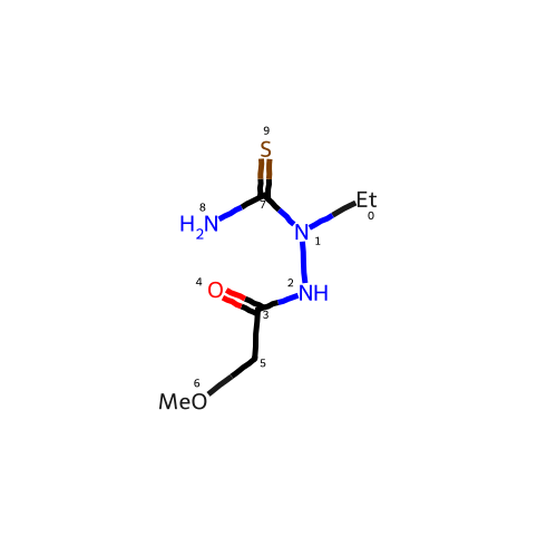 CCN(NC(=O)COC)C(N)=S